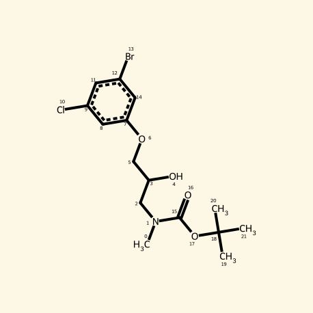 CN(CC(O)COc1cc(Cl)cc(Br)c1)C(=O)OC(C)(C)C